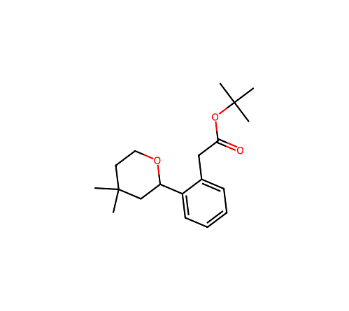 CC1(C)CCOC(c2ccccc2CC(=O)OC(C)(C)C)C1